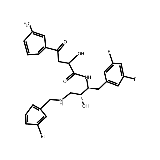 CCc1cccc(CNC[C@@H](O)[C@H](Cc2cc(F)cc(F)c2)NC(=O)C(O)CC(=O)c2cccc(C(F)(F)F)c2)c1